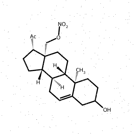 CC(=O)[C@H]1CC[C@H]2[C@@H]3CC=C4CC(O)CC[C@]4(C)[C@H]3CC[C@]12CO[N+](=O)[O-]